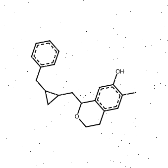 Cc1cc2c(cc1O)C(CC1CC1Cc1ccccc1)OCC2